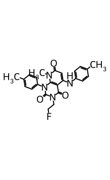 Cc1ccc(Nc2cc(=O)n(C)c3c2c(=O)n(CCF)c(=O)n3-c2ccc(C)cc2)cc1